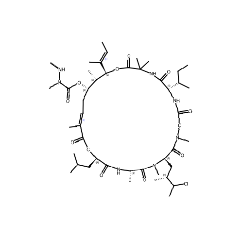 C/C=C(\C)[C@H]1OC(=O)C(C)(C)NC(=O)[C@H](C(C)CC)NC(=O)CN(C)C(=O)[C@@H](C[C@@H](C)C(C)Cl)N(C)C(=O)[C@H](C)NC(=O)[C@@H](CC(C)C)OC(=O)/C(C)=C/C[C@H](OC(=O)N(C)NC)[C@@H]1C